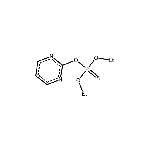 CCOP(=S)(OCC)Oc1ncccn1